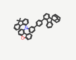 CC1(C)c2ccccc2-c2c(N(c3cccc(-c4ccc(-c5cccc6c5-c5ccccc5C65C6CC7CC(C6)CC5C7)cc4)c3)c3cccc4oc5ccccc5c34)cccc21